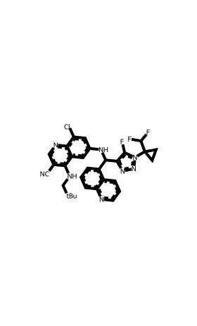 CC(C)(C)CNc1c(C#N)cnc2c(Cl)cc(NC(c3nnn(C4(C(F)F)CC4)c3F)c3cccc4ncccc34)cc12